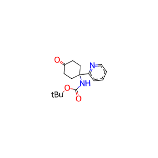 CC(C)(C)OC(=O)NC1(c2ccccn2)CCC(=O)CC1